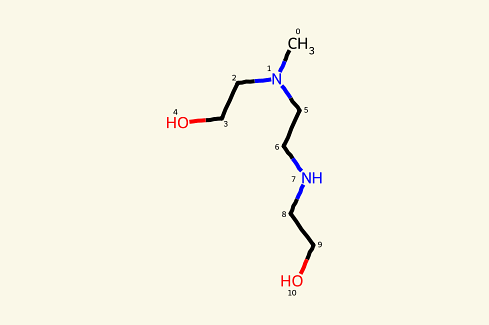 CN(CCO)CCNCCO